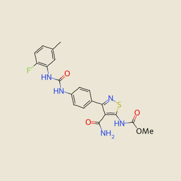 COC(=O)Nc1snc(-c2ccc(NC(=O)Nc3cc(C)ccc3F)cc2)c1C(N)=O